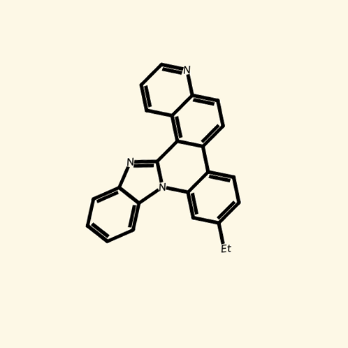 CCc1ccc2c3ccc4ncccc4c3c3nc4ccccc4n3c2c1